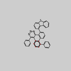 c1ccc(-c2ccccc2-c2cccc(-c3cccc4sc5ccccc5c34)c2-c2nnnc(-c3ccccc3)c2-c2ccccc2)cc1